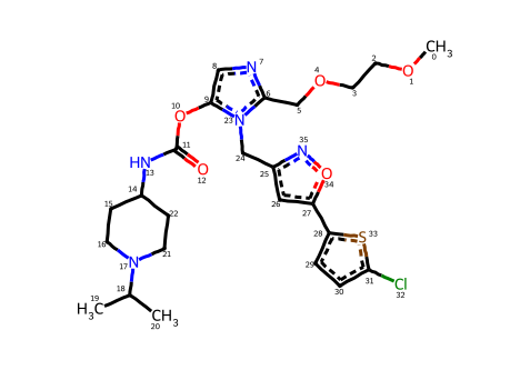 COCCOCc1ncc(OC(=O)NC2CCN(C(C)C)CC2)n1Cc1cc(-c2ccc(Cl)s2)on1